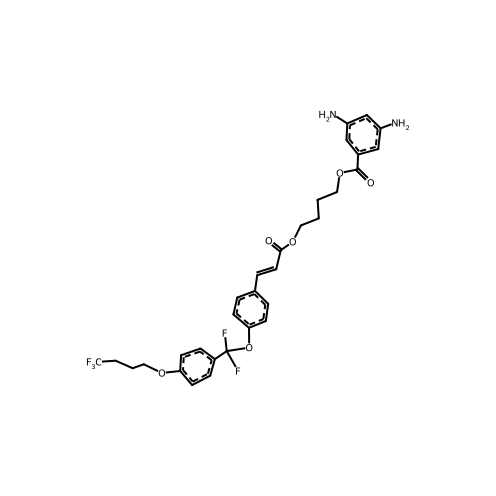 Nc1cc(N)cc(C(=O)OCCCCOC(=O)/C=C/c2ccc(OC(F)(F)c3ccc(OCCCC(F)(F)F)cc3)cc2)c1